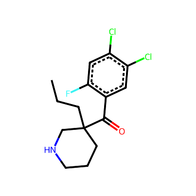 CCCC1(C(=O)c2cc(Cl)c(Cl)cc2F)CCCNC1